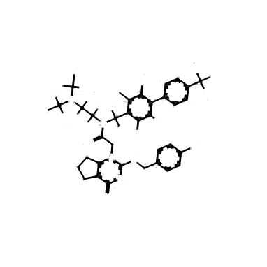 [2H]c1c([2H])c(C([2H])([2H])N(C(=O)Cn2c(SCc3ccc(F)cc3)nc(=O)c3c2CCC3)C([2H])([2H])C([2H])([2H])N(C([2H])([2H])C)C([2H])([2H])C)c(C)c([2H])c1-c1ccc(C(F)(F)F)cc1